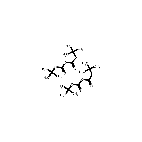 CC(C)(C)OC(=O)OC(=O)OC(C)(C)C.CC(C)(C)OC(=O)OC(=O)OC(C)(C)C